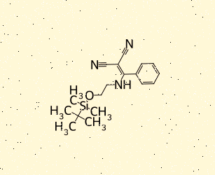 CC(C)(C)[Si](C)(C)OCCNC(=C(C#N)C#N)c1ccccc1